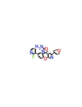 NC1=NC2(CO1)c1cc(-c3cccnc3F)ccc1Oc1cnc(C3=CCOCC3)cc12